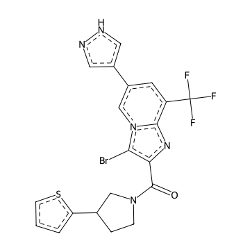 O=C(c1nc2c(C(F)(F)F)cc(-c3cn[nH]c3)cn2c1Br)N1CCC(c2cccs2)C1